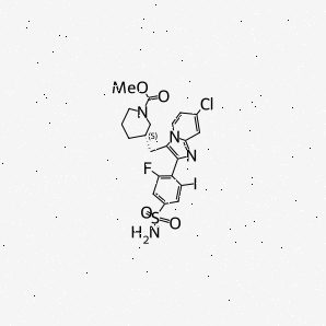 COC(=O)N1CCC[C@@H](Cc2c(-c3c(F)cc(S(N)(=O)=O)cc3I)nc3cc(Cl)ccn23)C1